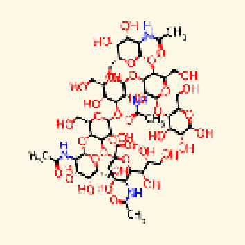 CC(=O)N[C@H]1[C@H](O[C@@H]2[C@H](O[C@@H]3O[C@H](CO)[C@@H](O)[C@H](O[C@@H]4O[C@H](CO)[C@H](O[C@@H]5O[C@H](CO)[C@H](O)[C@H](O)[C@H]5NC(C)=O)[C@H](O[C@]5(C(=O)O)C[C@H](O)[C@@H](NC(C)=O)[C@H]([C@H](O)[C@H](O)CO)O5)[C@H]4O)[C@H]3NC(C)=O)[C@@H](O)[C@H](O[C@H]3[C@H](O)[C@@H](O)[C@H](O)O[C@@H]3CO)O[C@@H]2CO)O[C@H](CO)[C@H](O)[C@@H]1O